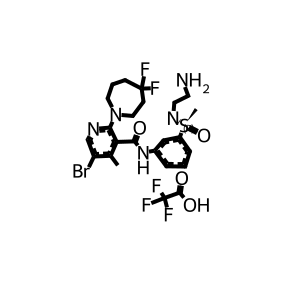 Cc1c(Br)cnc(N2CCCC(F)(F)CC2)c1C(=O)Nc1cccc([S@@](C)(=O)=NCCN)c1.O=C(O)C(F)(F)F